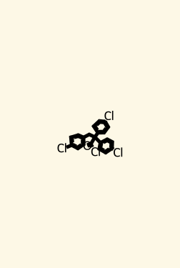 O=C(Cl)C(Cc1ccc(Cl)cc1)(c1ccc(Cl)cc1)c1ccc(Cl)cc1